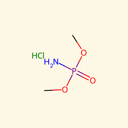 COP(N)(=O)OC.Cl